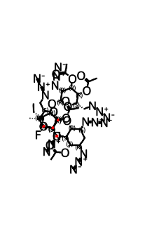 CC[C@H]1O[C@@H](O[C@@H]2[C@@H](OC(C)=O)[C@H](N=[N+]=[N-])C[C@H](N=[N+]=[N-])[C@H]2O[C@H]2O[C@H](CN=[N+]=[N-])[C@@H](C)[C@@H](F)[C@H]2N=[N+]=[N-])[C@H](OC(C)=O)[C@@H]1O[C@H]1O[C@@H](CN=[N+]=[N-])[C@@H](OC(C)=O)[C@H](OC(C)=O)[C@H]1N=[N+]=[N-]